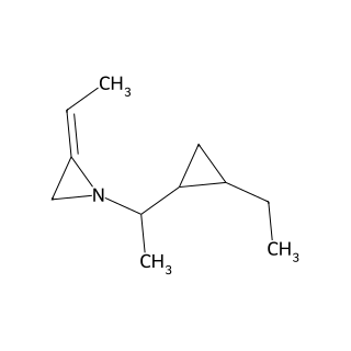 C/C=C1/CN1C(C)C1CC1CC